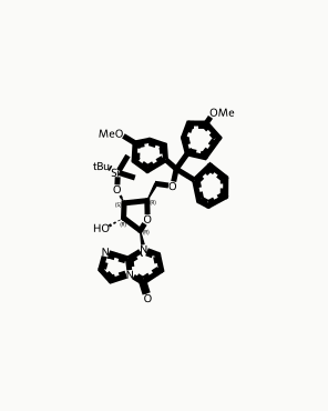 COc1ccc(C(OC[C@H]2O[C@@H](n3ccc(=O)n4ccnc34)[C@H](O)[C@@H]2O[Si](C)(C)C(C)(C)C)(c2ccccc2)c2ccc(OC)cc2)cc1